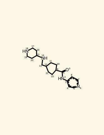 O=C(Nc1ccncc1)C1CCC(CNC2CCNCC2)CC1